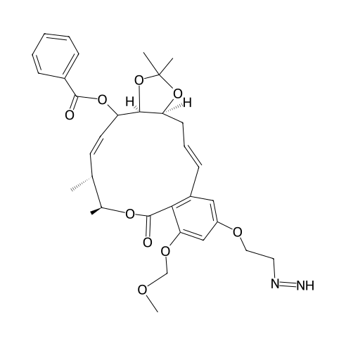 COCOc1cc(OCCN=N)cc2c1C(=O)O[C@@H](C)[C@H](C)/C=C\C(OC(=O)c1ccccc1)[C@H]1OC(C)(C)O[C@H]1C/C=C/2